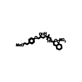 COCCc1ccc(OCC(O)CNC(C)(C)CNC(=O)CC2CCCCC2O[N+](=O)[O-])cc1